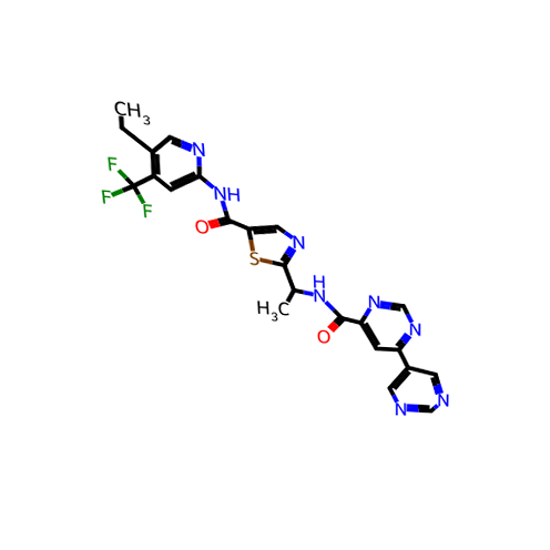 CCc1cnc(NC(=O)c2cnc(C(C)NC(=O)c3cc(-c4cncnc4)ncn3)s2)cc1C(F)(F)F